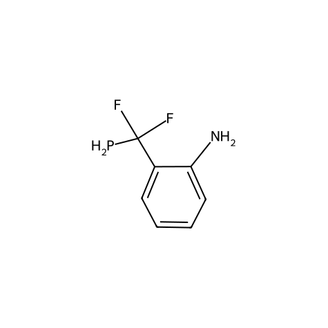 Nc1ccccc1C(F)(F)P